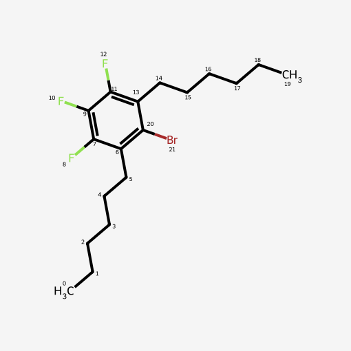 CCCCCCc1c(F)c(F)c(F)c(CCCCCC)c1Br